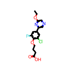 CCOc1cncc(-c2cc(F)c(OCCCC(=O)O)c(Cl)c2)n1